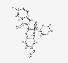 Cc1ccc2nc(N(Cc3ccc(OC(F)(F)F)cc3)S(=O)(=O)c3ccccc3)c(Cl)n2c1